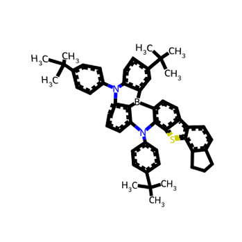 CC(C)(C)c1ccc(N2c3ccc(C(C)(C)C)cc3B3c4ccc5c(sc6c7c(ccc65)CCC7)c4N(c4ccc(C(C)(C)C)cc4)c4cccc2c43)cc1